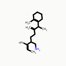 C=C(CCC(CN)/C(=C\C)CCC)C(C)C1=C(C)CCCC1